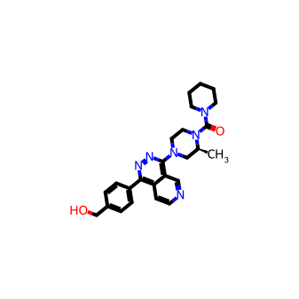 C[C@H]1CN(c2nnc(-c3ccc(CO)cc3)c3ccncc23)CCN1C(=O)N1CCCCC1